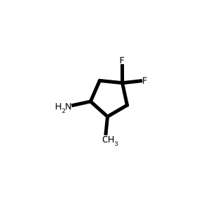 CC1CC(F)(F)CC1N